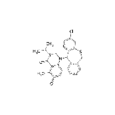 Cc1c2n(ccc1=O)N(C1c3ccccc3CSc3cc(Cl)ccc31)CN(C(C)C)C2=O